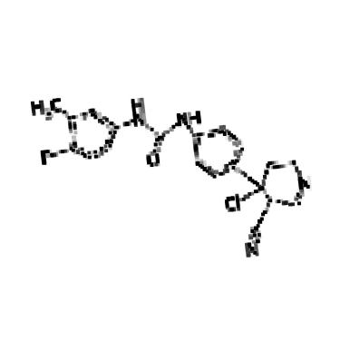 Cc1cc(NC(=O)Nc2ccc(C3(Cl)C=CN=CC3C#N)cc2)ccc1F